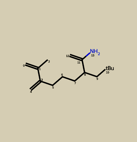 C=C(C)C(=C)CCCC(CC(C)(C)C)C(=C)N